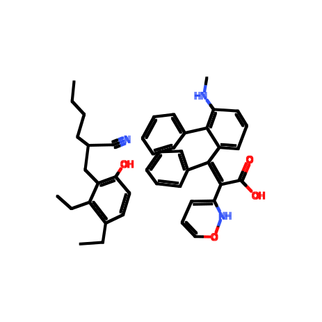 CCCCC(C#N)Cc1c(O)ccc(CC)c1CC.CNc1cccc(C(=C(C(=O)O)C2=CC=CON2)c2ccccc2)c1-c1ccccc1